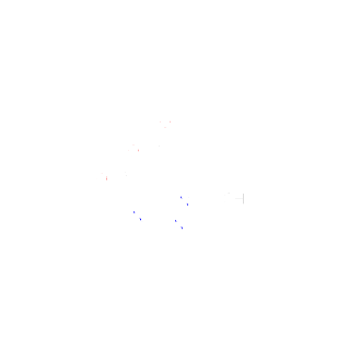 Cc1cc2c(=O)oc(=O)c3ncnn1c23